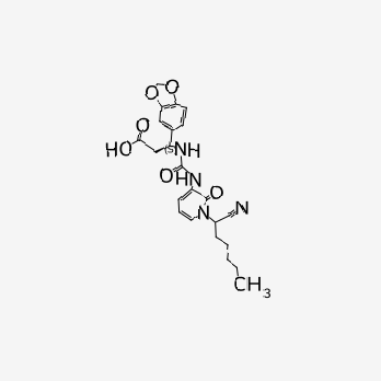 CCCCCC(C#N)n1cccc(NC(=O)N[C@@H](CC(=O)O)c2ccc3c(c2)OCO3)c1=O